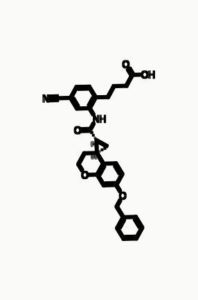 N#Cc1ccc(CCCC(=O)O)c(NC(=O)[C@@H]2C[C@]23CCOc2cc(OCc4ccccc4)ccc23)c1